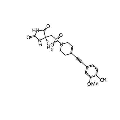 COc1cc(C#CC2=CCN(S(=O)(=O)C[C@]3(C)NC(=O)NC3=O)CC2)ccc1C#N